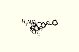 C[C@]12CC[C@@H]3c4ccc(OCc5ccccc5)cc4CC[C@H]3[C@@H]1[C@@H](C(N)=O)CO2